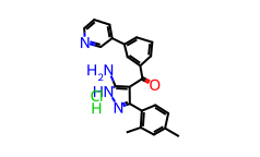 Cc1ccc(-c2n[nH]c(N)c2C(=O)c2cccc(-c3cccnc3)c2)c(C)c1.Cl